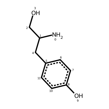 NC(CO)Cc1ccc(O)cc1